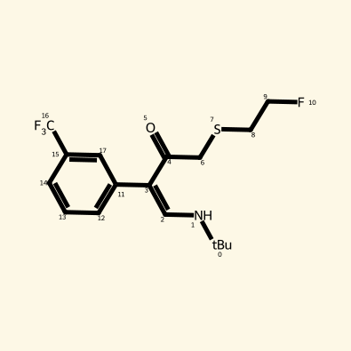 CC(C)(C)N/C=C(\C(=O)CSCCF)c1cccc(C(F)(F)F)c1